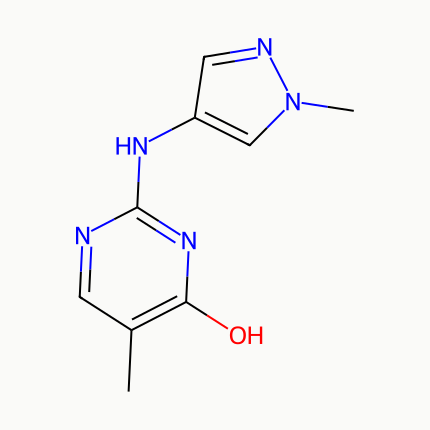 Cc1cnc(Nc2cnn(C)c2)nc1O